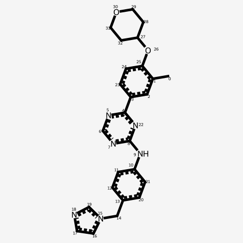 Cc1cc(-c2ncnc(Nc3ccc(Cn4ccnc4)cc3)n2)ccc1OC1CCOCC1